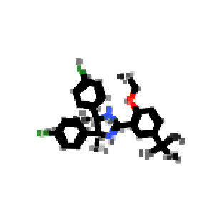 CCOc1ccc(C(C)(C)C)cc1C1=N[C@@](C)(c2ccc(Cl)cc2)[C@@](C)(c2ccc(Cl)cc2)N1